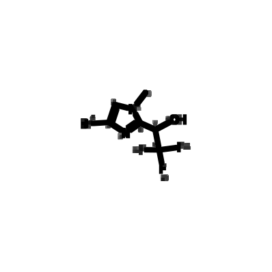 Cn1cc(Br)nc1C(O)C(F)(F)F